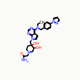 CCN(Cc1ccc(-n2cccn2)cc1)c1ncnc2c1ccn2CC1(O)CCN(CC(N)=O)CC1O